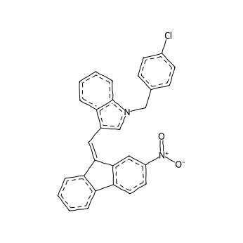 O=[N+]([O-])c1ccc2c(c1)C(=Cc1cn(Cc3ccc(Cl)cc3)c3ccccc13)c1ccccc1-2